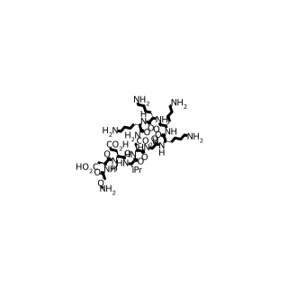 CC(C)[C@H](NC(=O)[C@H](CCC(=O)O)NC(=O)[C@H](CC(=O)O)NC(=O)CON)C(=O)N[C@@H](CC(=O)O)C(=O)NCC(=O)N[C@@H](CCCCN)C(=O)N[C@@H](CCCCN)C(=O)N[C@@H](CCCCN)C(=O)N[C@@H](CCCCN)C(N)=O